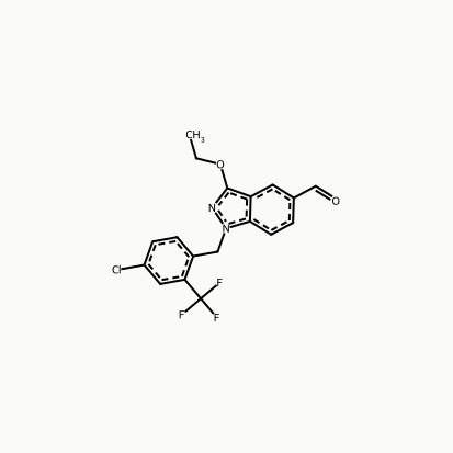 CCOc1nn(Cc2ccc(Cl)cc2C(F)(F)F)c2ccc(C=O)cc12